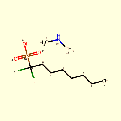 CCCCCCCC(F)(F)S(=O)(=O)O.CNC